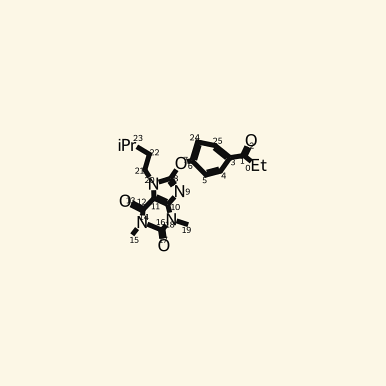 CCC(=O)c1ccc(Oc2nc3c(c(=O)n(C)c(=O)n3C)n2CCC(C)C)cc1